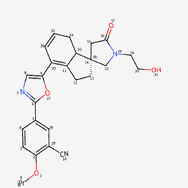 CC(C)Oc1ccc(-c2ncc(C3=C4CC[C@@]5(CC(=O)N(CCO)C5)C4CC=C3)o2)cc1C#N